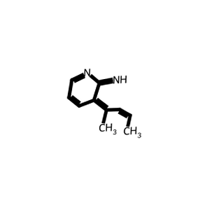 C/C=C\C(C)=C1\C=CC=NC1=N